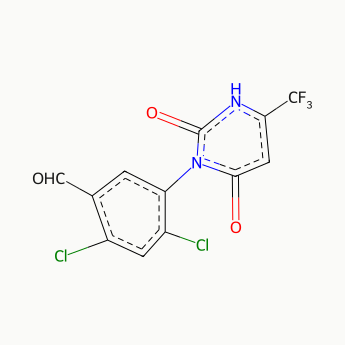 O=Cc1cc(-n2c(=O)cc(C(F)(F)F)[nH]c2=O)c(Cl)cc1Cl